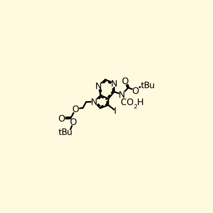 CC(C)(C)OC(=O)OCCn1cc(I)c2c(N(C(=O)O)C(=O)OC(C)(C)C)ncnc21